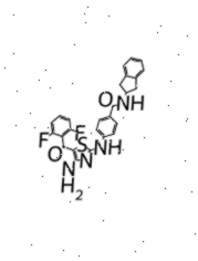 Nc1nc(Nc2ccc(C(=O)NC3Cc4ccccc4C3)cc2)sc1C(=O)c1c(F)cccc1F